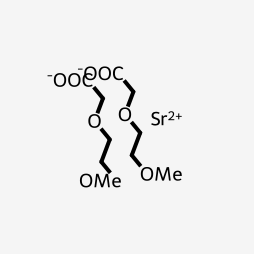 COCCOCC(=O)[O-].COCCOCC(=O)[O-].[Sr+2]